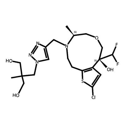 C[C@H]1COC[C@](O)(C(F)F)c2cc(Cl)sc2CCN1Cc1cn(CC(C)(CO)CO)nn1